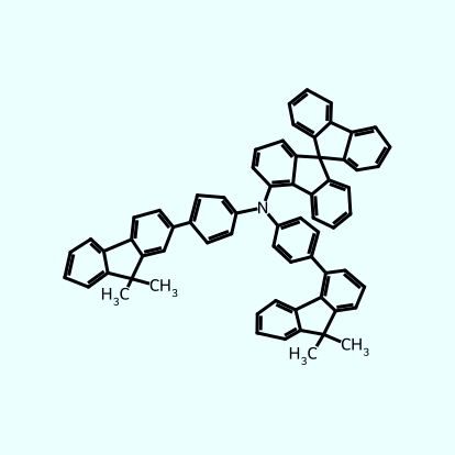 CC1(C)c2ccccc2-c2ccc(-c3ccc(N(c4ccc(-c5cccc6c5-c5ccccc5C6(C)C)cc4)c4cccc5c4-c4ccccc4C54c5ccccc5-c5ccccc54)cc3)cc21